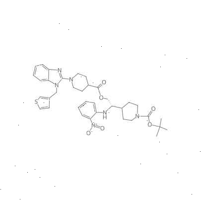 CC(C)(C)OC(=O)N1CCC([C@@H](COC(=O)C2CCN(c3nc4ccccc4n3Cc3ccsc3)CC2)Nc2ccccc2[N+](=O)[O-])CC1